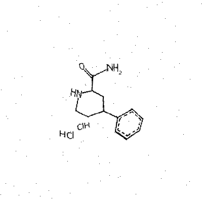 Cl.Cl.NC(=O)C1CC(c2ccccc2)CCN1